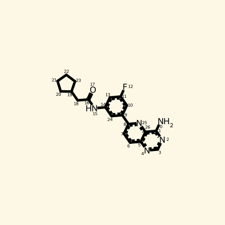 Nc1ncnc2ccc(-c3cc(F)cc(NC(=O)CC4CCCC4)c3)nc12